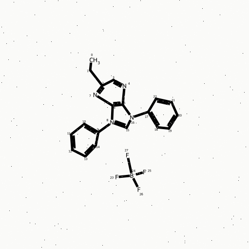 CCc1cnc2c(n1)[n+](-c1ccccc1)cn2-c1ccccc1.F[B-](F)(F)F